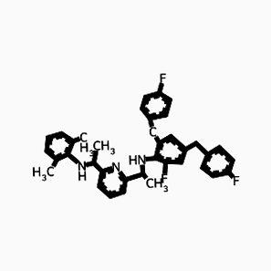 Cc1cccc(C)c1NC(C)c1cccc(C(C)Nc2c(F)cc(Cc3ccc(F)cc3)cc2Cc2ccc(F)cc2)n1